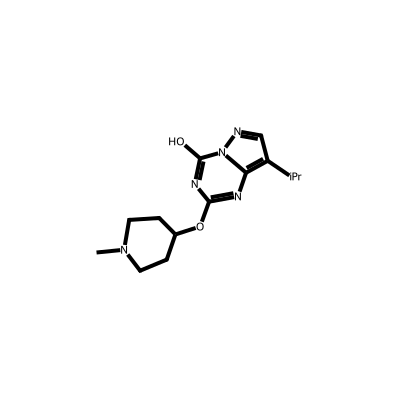 CC(C)c1cnn2c(O)nc(OC3CCN(C)CC3)nc12